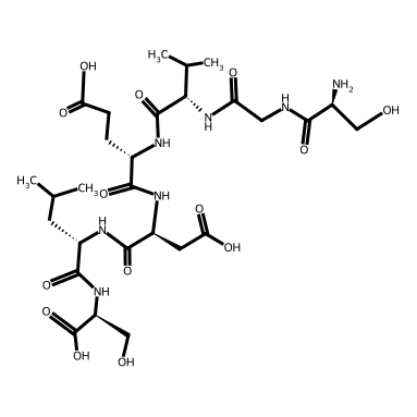 CC(C)C[C@H](NC(=O)[C@H](CC(=O)O)NC(=O)[C@H](CCC(=O)O)NC(=O)[C@@H](NC(=O)CNC(=O)[C@@H](N)CO)C(C)C)C(=O)N[C@@H](CO)C(=O)O